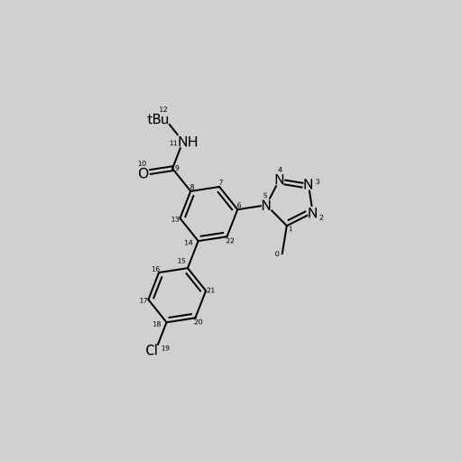 Cc1nnnn1-c1cc(C(=O)NC(C)(C)C)cc(-c2ccc(Cl)cc2)c1